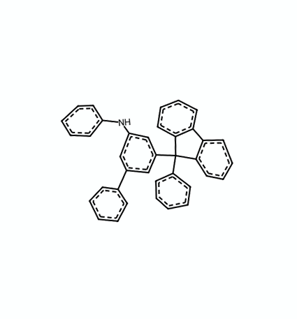 c1ccc(Nc2cc(-c3ccccc3)cc(C3(c4ccccc4)c4ccccc4-c4ccccc43)c2)cc1